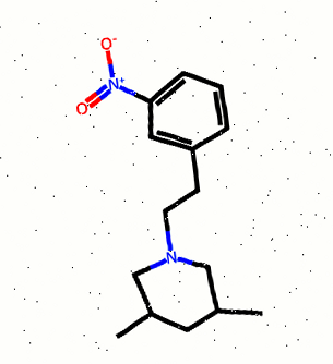 CC1CC(C)CN(CCc2cccc([N+](=O)[O-])c2)C1